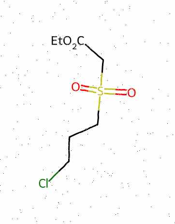 CCOC(=O)CS(=O)(=O)CCCCl